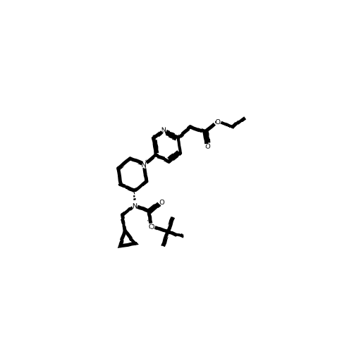 CCOC(=O)Cc1ccc(N2CCC[C@@H](N(CC3CC3)C(=O)OC(C)(C)C)C2)cn1